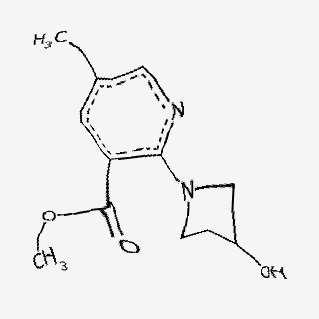 COC(=O)c1cc(C)cnc1N1CC(O)C1